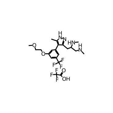 CNCC(Cc1n[nH]c(C)c1-c1cc(OCCOC)cc(C(F)(F)F)c1)NC.O=C(O)C(F)(F)F